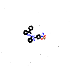 CS(=O)(=O)Nc1ccc(-c2nc(NCC(c3ccccc3)C3CCCCC3)c3ccccc3n2)cc1